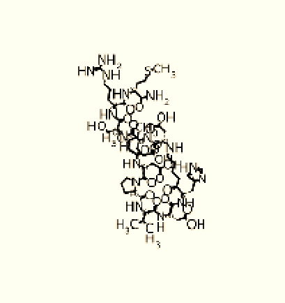 CC[C@H](C)CC(=O)N[C@@H](CC(=O)O)C(=O)N1CCC[C@H]1C(=O)N[C@H](C(=O)N[C@@H](CC(=O)O)C(=O)N[C@@H](Cc1c[nH]cn1)C(=O)CCCCN[C@@H](CC(=O)O)C(=O)N[C@@H](CCC(=O)O)C(=O)N[C@@H](CO)C(=O)N[C@@H](CCCNC(=N)N)C(=O)N[C@@H](CCSC)C(N)=O)C(C)C